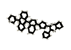 c1ccc(-c2nc3ccccc3nc2-c2ccc(-c3ccc(-c4c5ccccc5c(-c5cccnc5)c5ccccc45)c4ccccc34)cc2)cc1